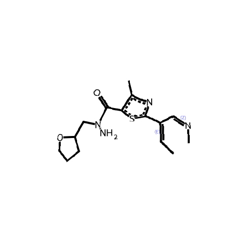 C/C=C(\C=N/C)c1nc(C)c(C(=O)N(N)CC2CCCO2)s1